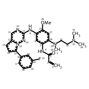 C=CC(=O)Nc1cc(Nc2ncc3ccc(-c4cccc(F)c4)n3n2)c(OC)cc1N(C)CCN(C)C